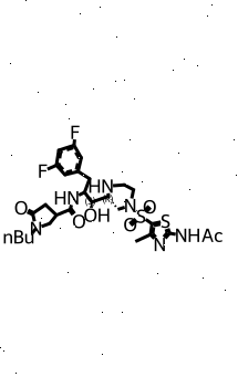 CCCCN1CC(C(=O)NC(Cc2cc(F)cc(F)c2)[C@H](O)[C@H]2CN(S(=O)(=O)c3sc(NC(C)=O)nc3C)CCN2)CC1=O